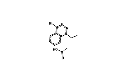 CC(=O)O.CCc1nnc(Br)c2ccccc12